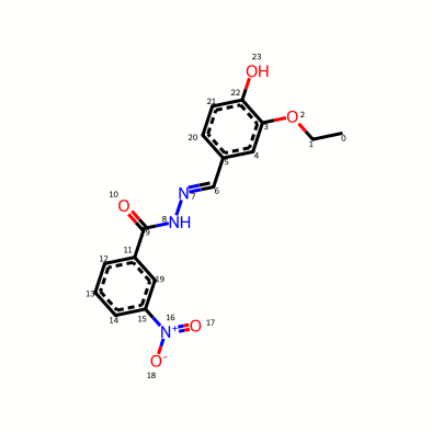 CCOc1cc(C=NNC(=O)c2cccc([N+](=O)[O-])c2)ccc1O